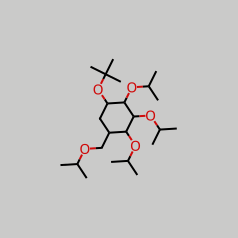 CC(C)OCC1CC(OC(C)(C)C)C(OC(C)C)C(OC(C)C)C1OC(C)C